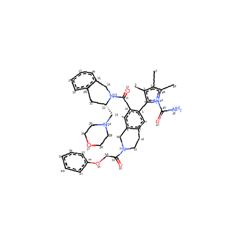 Cc1c(C)c(-c2cc3c(cc2C(=O)N2Cc4ccccc4C[C@H]2CN2CCOCC2)CN(C(=O)COc2ccccc2)CC3)n(C(N)=O)c1C